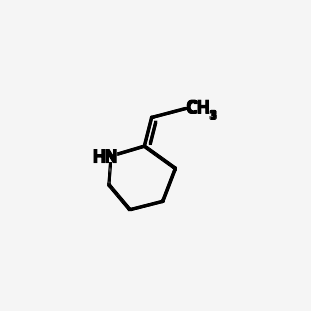 C/C=C1\CCCCN1